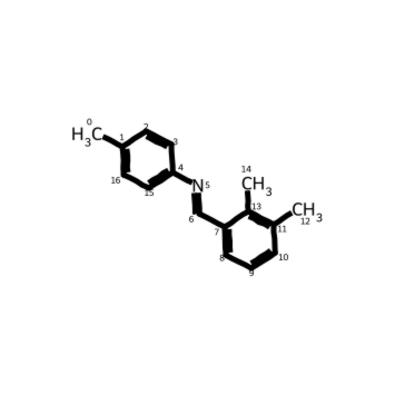 Cc1ccc(N=[C]c2cccc(C)c2C)cc1